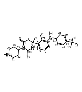 C=C1CC(C)(c2cccc(NC3C=CC(C(C)(C)C)=CC3)c2C)NC(=C)N1C1CCNCC1